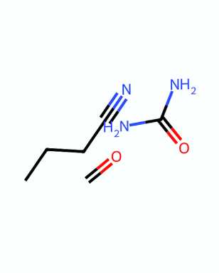 C=O.CCCC#N.NC(N)=O